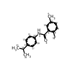 Cc1ccc(F)c(C(=O)Nc2ccc(C(C)C)cc2)c1